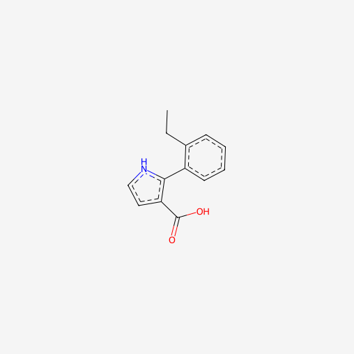 CCc1ccccc1-c1[nH]ccc1C(=O)O